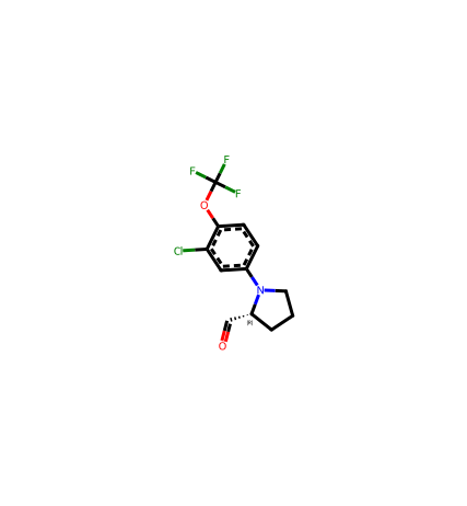 O=C[C@H]1CCCN1c1ccc(OC(F)(F)F)c(Cl)c1